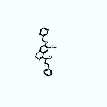 COc1cc2c(cc1OCc1ccccc1)CCN=C2C(=O)/C=C/c1ccccc1